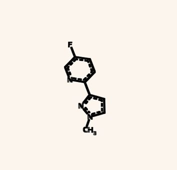 Cn1ccc(-c2ccc(F)cn2)n1